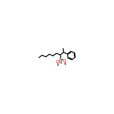 CCCCCCC(C(C)c1ccccc1)[SiH](OC)OC